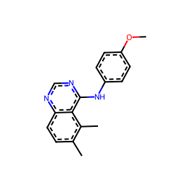 COc1ccc(Nc2ncnc3ccc(C)c(C)c23)cc1